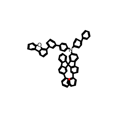 c1ccc(-c2ccc(N(c3ccc(-c4cccc(-c5cccc6c5oc5ccccc56)c4)cc3)c3ccc4c(c3)C3(c5ccccc5-c5ccc(-c6ccccc6)cc53)c3cc(-c5ccccc5)ccc3-4)cc2)cc1